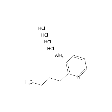 CCCCc1ccccn1.Cl.Cl.Cl.Cl.[AlH3]